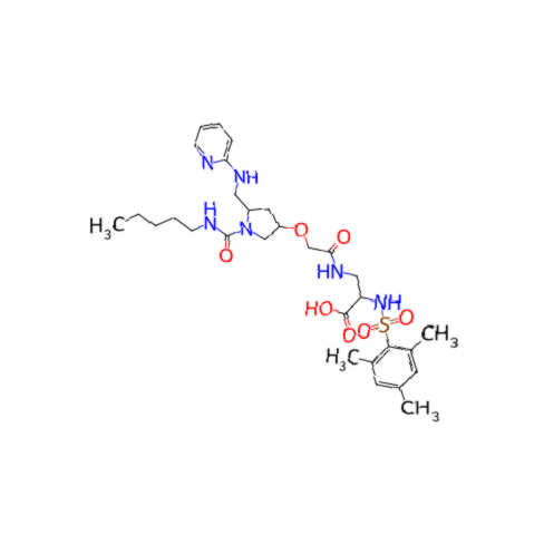 CCCCCNC(=O)N1CC(OCC(=O)NCC(NS(=O)(=O)c2c(C)cc(C)cc2C)C(=O)O)CC1CNc1ccccn1